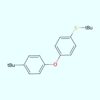 CC(C)(C)Sc1ccc(Oc2ccc(C(C)(C)C)cc2)cc1